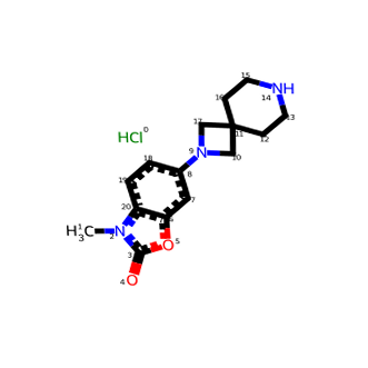 Cl.Cn1c(=O)oc2cc(N3CC4(CCNCC4)C3)ccc21